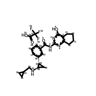 O=C(Nc1nc(O)c2c(n1)CCCC2)c1cccc([C@@H]2C[C@H]2NCC2CC2)c1.O=C(O)C(F)(F)F